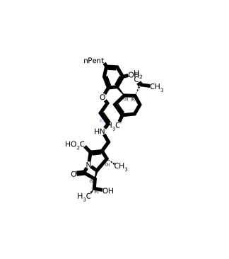 C=C(C)[C@@H]1CCC(C)=C[C@H]1c1c(O)cc(CCCCC)cc1OC/C=C/NCC1=C(C(=O)O)N2C(=O)[C@H]([C@@H](C)O)C2[C@H]1C